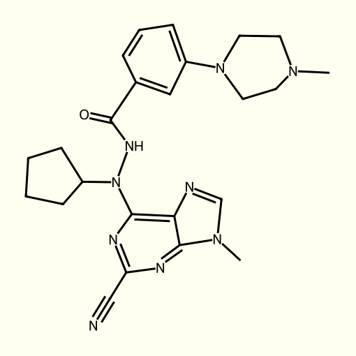 CN1CCN(c2cccc(C(=O)NN(c3nc(C#N)nc4c3ncn4C)C3CCCC3)c2)CC1